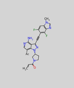 C=CC(=O)N1CC[C@H](n2nc(C#Cc3c(F)cc4c(ncn4C)c3F)c3c(N)ncc(C(C)=O)c32)C1